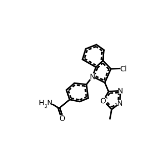 Cc1nnc(-c2c(Cl)c3ccccc3n2-c2ccc(C(N)=O)cc2)o1